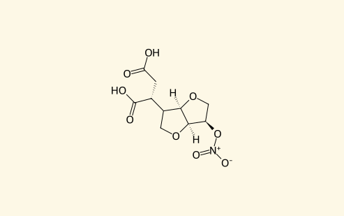 O=C(O)C[C@@H](C(=O)O)C1CO[C@H]2[C@@H]1OC[C@H]2O[N+](=O)[O-]